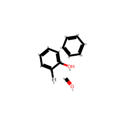 C=O.CCc1ccccc1O.c1ccccc1